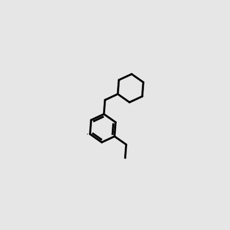 CCc1c[c]cc(CC2CCCCC2)c1